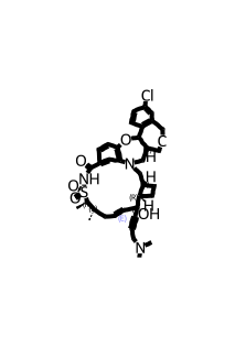 C[C@@H]1[C@@H](C)C/C=C/[C@](O)(C#CCN(C)C)[C@@H]2CC[C@H]2CN2C[C@H]3CCCc4cc(Cl)ccc4C3Oc3ccc(cc32)C(=O)NS1(=O)=O